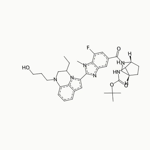 CCC1CN(CCCO)c2cccc3cc(-c4nc5cc(C(=O)N6C[C@H]7CC[C@@H]6[C@@H]7NC(=O)OC(C)(C)C)cc(F)c5n4C)n1c23